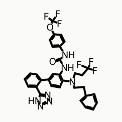 O=C(Nc1ccc(OC(F)(F)F)cc1)Nc1cc(-c2ccccc2-c2nnn[nH]2)ccc1N(CCc1ccccc1)CCC(F)(F)F